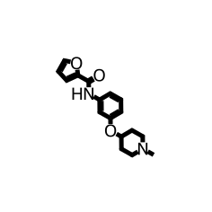 CN1CCC(Oc2cccc(NC(=O)c3ccco3)c2)CC1